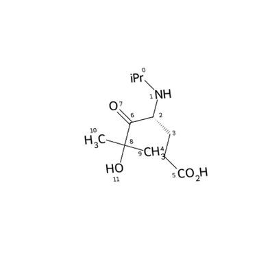 CC(C)N[C@H](CCC(=O)O)C(=O)C(C)(C)O